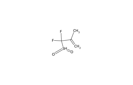 C=C(C)C(F)(F)[SH](=O)=O